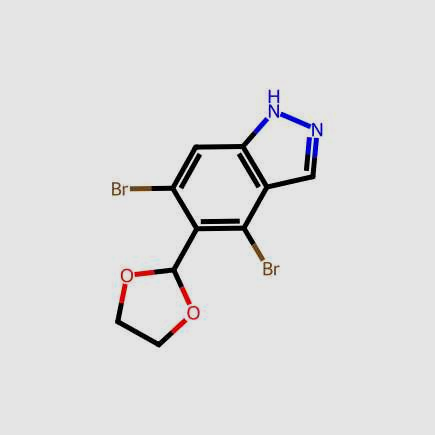 Brc1cc2[nH]ncc2c(Br)c1C1OCCO1